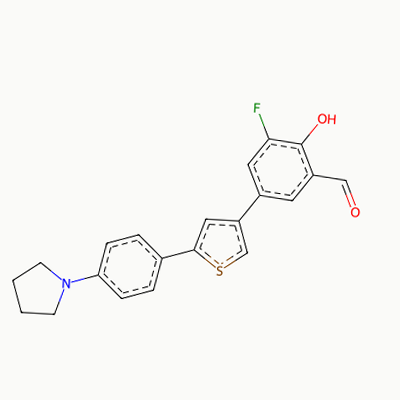 O=Cc1cc(-c2csc(-c3ccc(N4CCCC4)cc3)c2)cc(F)c1O